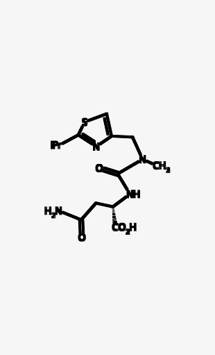 CC(C)c1nc(CN(C)C(=O)N[C@@H](CC(N)=O)C(=O)O)cs1